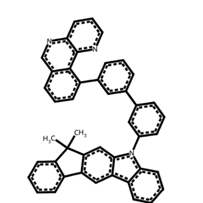 CC1(C)c2ccccc2-c2cc3c4ccccc4n(-c4cccc(-c5cccc(-c6cccc7cnc8cccnc8c67)c5)c4)c3cc21